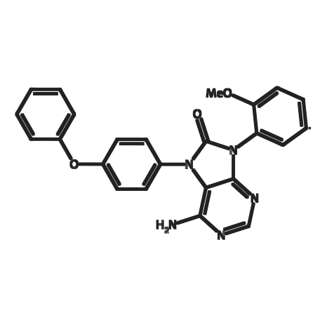 COc1cc[c]cc1-n1c(=O)n(-c2ccc(Oc3ccccc3)cc2)c2c(N)ncnc21